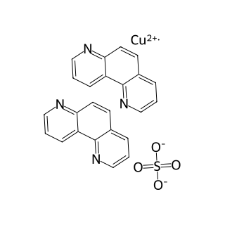 O=S(=O)([O-])[O-].[Cu+2].c1cnc2c(c1)ccc1ncccc12.c1cnc2c(c1)ccc1ncccc12